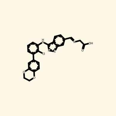 O=C(O)CN=Cc1ccc2c(Nc3cccc(-c4ccc5c(c4)OCCO5)c3Cl)nsc2c1